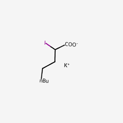 CCCCCCC(I)C(=O)[O-].[K+]